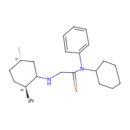 CC(C)[C@H]1CC[C@H](C)CC1NCC(=S)N(c1ccccc1)C1CCCCC1